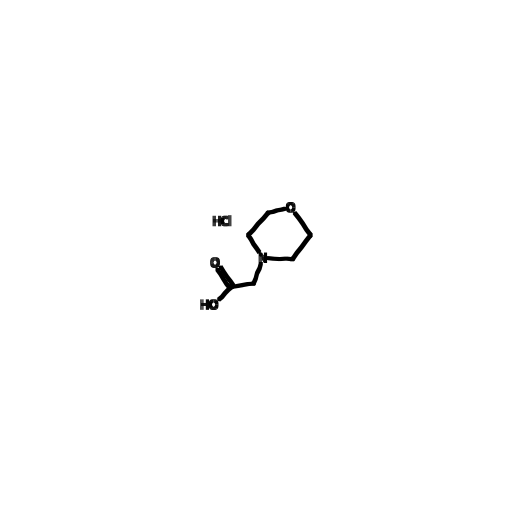 Cl.O=C(O)CN1CCOCC1